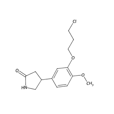 COc1ccc(C2CNC(=O)C2)cc1OCCCCl